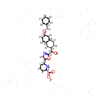 COC(=O)c1cccc(-c2cnc(C(=O)C3CCc4cc(OCc5ccccc5)ccc4C3)o2)n1